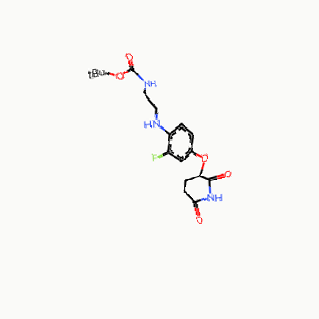 CC(C)(C)OC(=O)NCCNc1ccc(OC2CCC(=O)NC2=O)cc1F